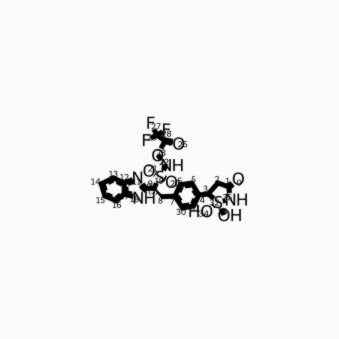 O=C1CC(c2ccc(C[C@@H](c3nc4ccccc4[nH]3)S(=O)(=O)NOC(=O)C(F)(F)F)cc2)S(O)(O)N1